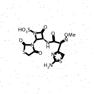 CO/N=C(\C(=O)N[C@@H]1C(=O)N(S(=O)(=O)O)C1N1C(=O)CSC1=O)c1csc(N)n1